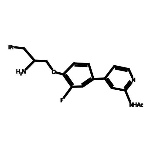 CC(=O)Nc1cc(-c2ccc(OCC(N)CC(C)C)c(F)c2)ccn1